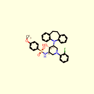 O=S(=O)(N[C@@H]1CN(c2ccccc2F)C[C@H](N2c3ccccc3CCc3ccccc32)[C@H]1O)c1ccc(OC(F)(F)F)cc1